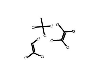 CC(Cl)(Cl)Cl.ClC(Cl)=C(Cl)Cl.ClC=C(Cl)Cl